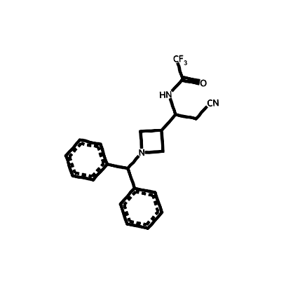 N#CCC(NC(=O)C(F)(F)F)C1CN(C(c2ccccc2)c2ccccc2)C1